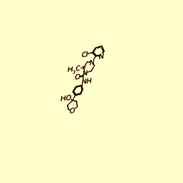 C[C@@H]1CN(c2ncccc2Cl)CCN1C(=O)Nc1ccc(C2(O)CCOCC2)cc1